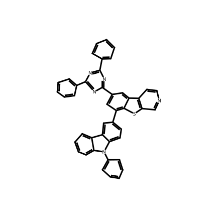 c1ccc(-c2nc(-c3ccccc3)nc(-c3cc(-c4ccc5c(c4)c4ccccc4n5-c4ccccc4)c4sc5cnccc5c4c3)n2)cc1